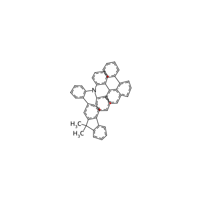 CC1(C)c2ccccc2-c2ccc(-c3ccccc3N(c3ccccc3)c3ccccc3-c3cccc4cccc(-c5ccccc5)c34)cc21